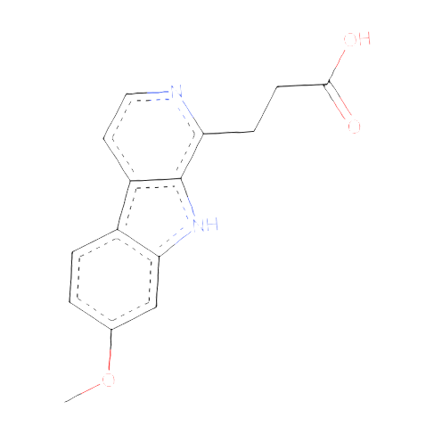 COc1ccc2c(c1)[nH]c1c(CCC(=O)O)nccc12